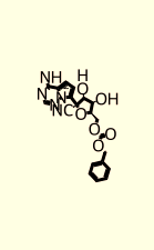 N#C[C@@]1(c2ccc3c(N)ncnn23)O[C@H](COC(=O)OCc2ccccc2)[C@@H](O)[C@H]1O